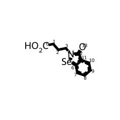 O=C(O)CCCn1[se]c2ccccc2c1=O